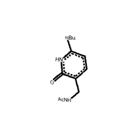 CCCCc1ccc(CNC(C)=O)c(=O)[nH]1